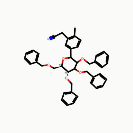 Cc1ccc(C2O[C@H](COCc3ccccc3)[C@@H](OCc3ccccc3)C(OCc3ccccc3)C2OCc2ccccc2)cc1CC#N